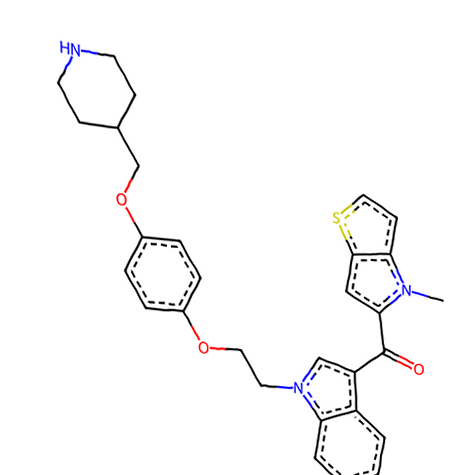 Cn1c(C(=O)c2cn(CCOc3ccc(OCC4CCNCC4)cc3)c3ccccc23)cc2sccc21